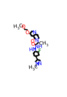 COCCOc1cnc2ccn([C@H](C)C(=O)NNc3ccc(-c4cnn(C)c4)cc3F)c(=O)c2c1